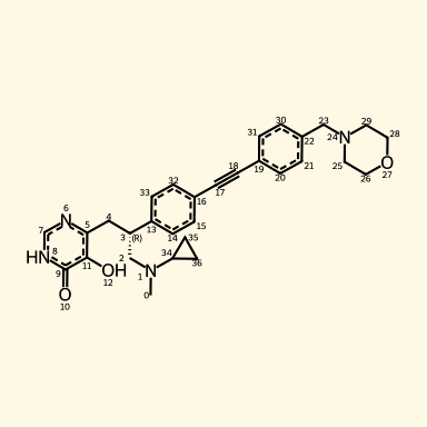 CN(C[C@H](Cc1nc[nH]c(=O)c1O)c1ccc(C#Cc2ccc(CN3CCOCC3)cc2)cc1)C1CC1